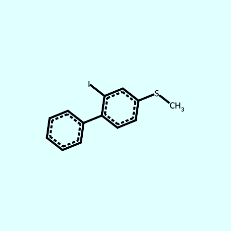 CSc1ccc(-c2ccccc2)c(I)c1